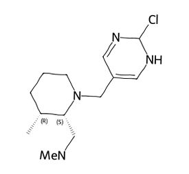 CNC[C@@H]1[C@H](C)CCCN1CC1=CNC(Cl)N=C1